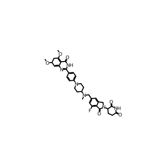 COC1=c2c(nc(-c3ccc(N4CCC(N(C)Cc5cc(F)c6c(c5)CN(C5CCC(=O)NC5=O)C6=O)CC4)cc3)[nH]c2=O)=CC(OC)C1